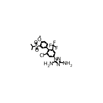 COc1ccc(-c2c(Cl)cc(-n3nc(N)nc3N)cc2C(F)(F)F)cc1S(=O)(=O)C(C)C